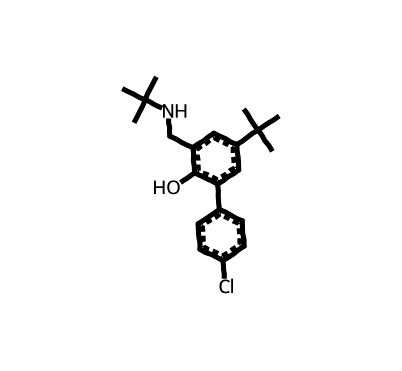 CC(C)(C)NCc1cc(C(C)(C)C)cc(-c2ccc(Cl)cc2)c1O